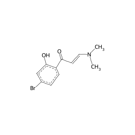 CN(C)C=CC(=O)c1ccc(Br)cc1O